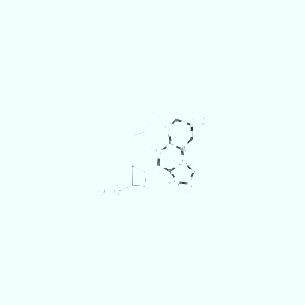 CNC1CN(c2nc3ncc(Br)cc3n3cnnc23)C1.O=C(O)CCC(=O)O